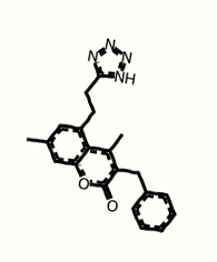 Cc1cc(CCc2nnn[nH]2)c2c(C)c(Cc3ccccc3)c(=O)oc2c1